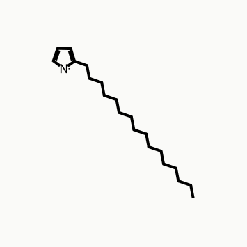 CCCCCCCCCCCCCCCCC1=CC=C[N]1